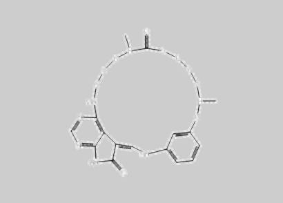 CN1CCCCC(=O)N(C)CCCNc2ncnc3c2/C(=C/Nc2cccc(c2)C1)C(=O)N3